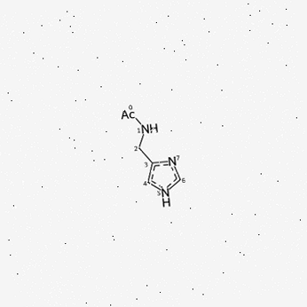 [CH2]C(=O)NCc1c[nH]cn1